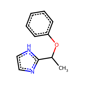 CC(Oc1ccccc1)c1ncc[nH]1